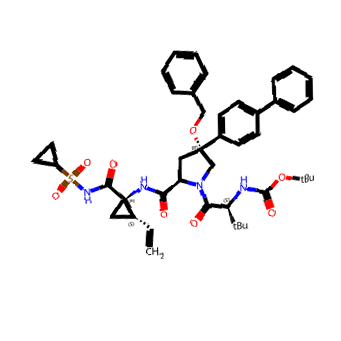 C=C[C@@H]1C[C@]1(NC(=O)C1C[C@@](OCc2ccccc2)(c2ccc(-c3ccccc3)cc2)CN1C(=O)[C@@H](NC(=O)OC(C)(C)C)C(C)(C)C)C(=O)NS(=O)(=O)C1CC1